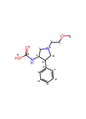 COCCN1CC(NC(=O)O)C(c2ccccc2)C1